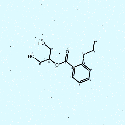 CCCc1ccccc1C(=O)OC(CO)CO